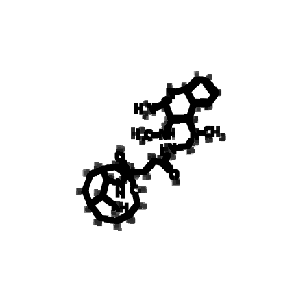 CNc1c(N)nc2ccccc2c1N(C)CNC(=O)CCC(=O)NC1C2CCCCCCCC(CC2)C1N